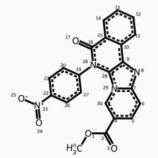 COC(=O)c1ccc2nc3c4ccccc4c(=O)n(-c4ccc([N+](=O)[O-])cc4)c3n2c1